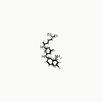 CCN(CC)CCCC(C)Nc1nc(C)cc(Nc2ccc3nc(C)cc(N)c3c2)n1